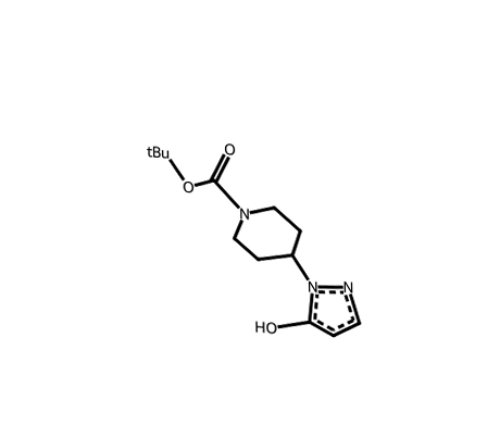 CC(C)(C)OC(=O)N1CCC(n2nccc2O)CC1